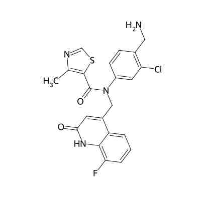 Cc1ncsc1C(=O)N(Cc1cc(=O)[nH]c2c(F)cccc12)c1ccc(CN)c(Cl)c1